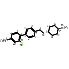 CCCc1ccc(-c2ccc(CC[C@H]3CC[C@H](CCC)CC3)cc2)c(F)c1